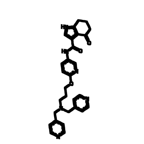 O=C(Nc1ccc(OCCCN(Cc2ccncc2)Cc2ccncc2)nc1)c1c[nH]c2c1C(=O)CCC2